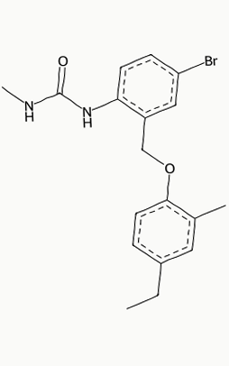 CCc1ccc(OCc2cc(Br)ccc2NC(=O)NC)c(C)c1